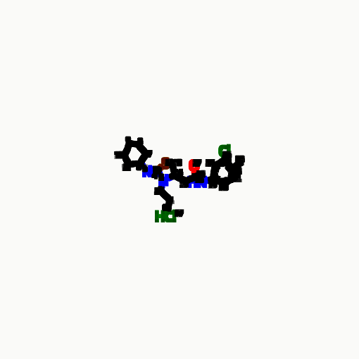 CCCN1/C(=N/C2CCCCC2)SCC1CC(=O)Nc1ccc(C)c(Cl)c1.Cl